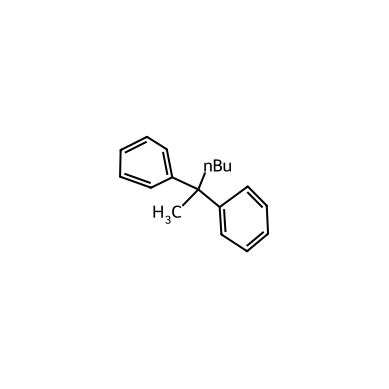 CCCCC(C)(c1ccccc1)c1ccccc1